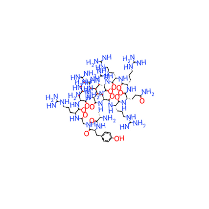 C[C@H](N)C(=O)N[C@@H](Cc1ccc(O)cc1)C(=O)NCC(=O)N[C@@H](CCCNC(=N)N)C(=O)N[C@@H](CCCNC(=N)N)C(=O)N[C@@H](CCCNC(=N)N)C(=O)N[C@@H](CCCNC(=N)N)C(=O)N[C@@H](CCCNC(=N)N)C(=O)N[C@@H](CCC(N)=O)C(=O)N[C@@H](CCCNC(=N)N)C(=O)N[C@@H](CCCNC(=N)N)C(=O)N[C@@H](CCCNC(=N)N)C(N)=O